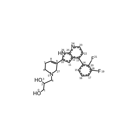 OCC(O)CN1CCC=C(c2cc3c(-c4cccc(F)c4F)ccnc3[nH]2)C1